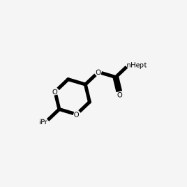 CCCCCCCC(=O)OC1COC(C(C)C)OC1